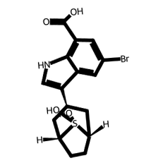 O=C(O)c1cc(Br)cc2c([C@@H]3C[C@H]4CC[C@@H](C3)S4(O)O)c[nH]c12